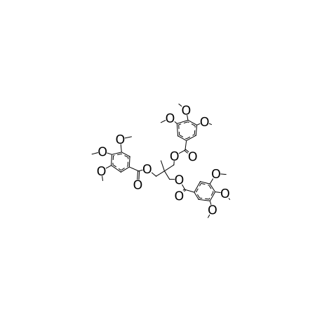 COc1cc(C(=O)OCC(C)(COC(=O)c2cc(OC)c(OC)c(OC)c2)COC(=O)c2cc(OC)c(OC)c(OC)c2)cc(OC)c1OC